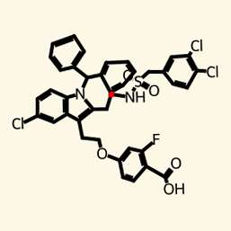 O=C(O)c1ccc(OCCc2c(CCNS(=O)(=O)Cc3ccc(Cl)c(Cl)c3)n(C(c3ccccc3)c3ccccc3)c3ccc(Cl)cc23)cc1F